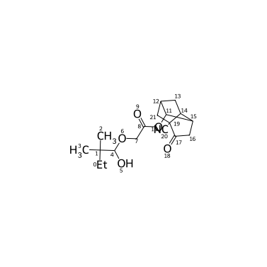 CCC(C)(C)C(O)OCC(=O)OC1C2CC3C1CC(=O)C3(C#N)C2